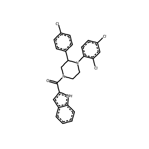 O=C(c1cc2ccccc2[nH]1)N1CCN(c2ccc(Cl)cc2Cl)C(c2ccc(Cl)cc2)C1